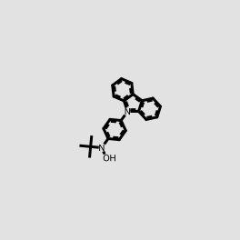 CC(C)(C)N(O)c1ccc(-n2c3ccccc3c3ccccc32)cc1